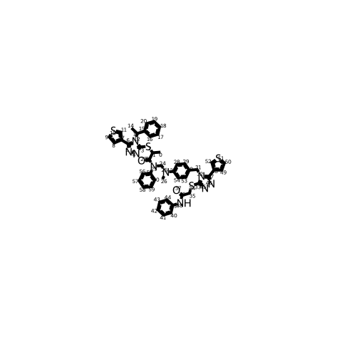 CC(Sc1nnc(-c2ccsc2)n1C(C)c1ccccc1)C(=O)N(CN(C)c1ccc(Cn2c(SCC(=O)Nc3ccccc3)nnc2-c2ccsc2)cc1)c1ccccc1